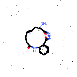 N[C@H]1C/C=C/CCC(=O)Nc2ccccc2-c2nnc1o2